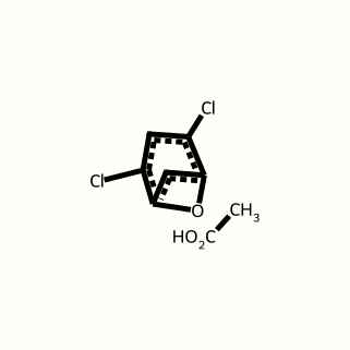 CC(=O)O.Clc1cc(Cl)c2cc1O2